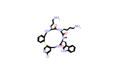 CN1C(=O)[C@H](CCCCN)NC(=O)[C@H](CCCN)NCc2ccccc2Sc2cnc(Cl)cc2CNC(=O)[C@@H]1Cc1c[nH]c2ccccc12